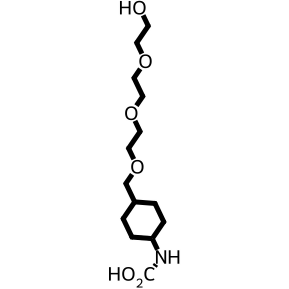 O=C(O)NC1CCC(COCCOCCOCCO)CC1